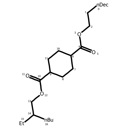 CCCCCCCCCCCCOC(=O)C1CCC(C(=O)OCC(CC)CCCC)CC1